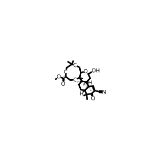 COC(=O)[C@H]1CCC(C)(C)CCC2OC(O)C[C@@H]3[C@@]4(C)C=C(C#N)C(=O)C(C)(C)[C@@H]4CC[C@@]3(C)[C@]2(C)CC1